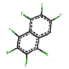 Fc1[c]c2c(F)c(F)c(F)c(F)c2c(F)c1F